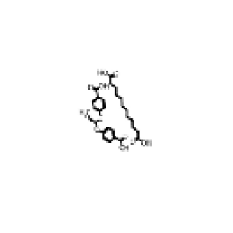 CCC(Oc1ccc(C(=O)O)cc1)Oc1ccc(C(=O)O)cc1.O=C(O)CCCCCCCCCCC(=O)O